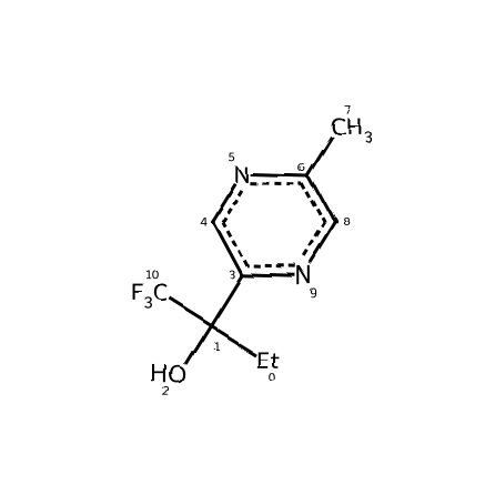 CCC(O)(c1cnc(C)cn1)C(F)(F)F